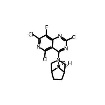 O=C(O)N1C2CCC1CN(c1nc(Cl)nc3c(F)c(Cl)nc(Cl)c13)C2